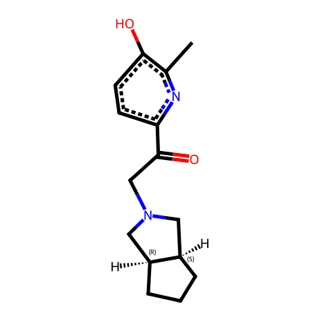 Cc1nc(C(=O)CN2C[C@H]3CCC[C@H]3C2)ccc1O